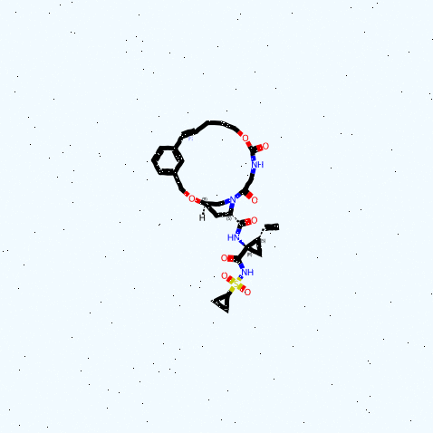 C=C[C@@H]1C[C@]1(NC(=O)[C@@H]1C[C@@H]2CN1C(=O)CNC(=O)OCCC/C=C/c1cccc(c1)CO2)C(=O)NS(=O)(=O)C1CC1